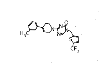 Cc1cccc(C2=CCN(c3ncn(Cc4ccc(C(F)(F)F)s4)c(=O)n3)CC2)c1